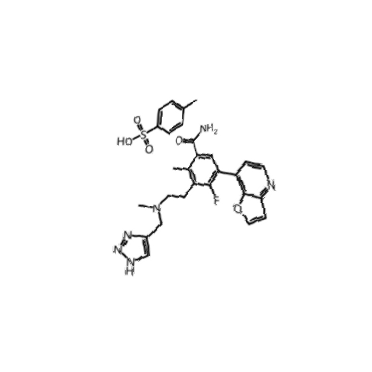 Cc1c(C(N)=O)cc(-c2ccnc3ccoc23)c(F)c1CCN(C)Cc1c[nH]nn1.Cc1ccc(S(=O)(=O)O)cc1